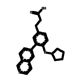 O=C(O)CCc1ccc(OC2CCCC2)c(-c2ccc3cnccc3c2)c1